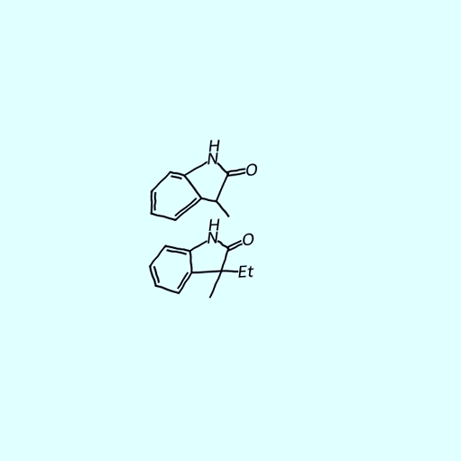 CC1C(=O)Nc2ccccc21.CCC1(C)C(=O)Nc2ccccc21